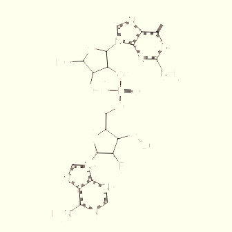 CCOC1C(COP(=O)(O)OC2C(F)C(O)OC2n2cnc3c(=O)[nH]c(N)nc32)OC(n2cnc3c(N)ncnc32)C1F